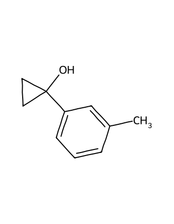 Cc1cccc(C2(O)CC2)c1